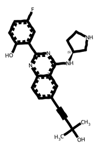 CC(C)(O)C#Cc1ccc2nc(-c3cc(F)ccc3O)nc(N[C@H]3CCNC3)c2c1